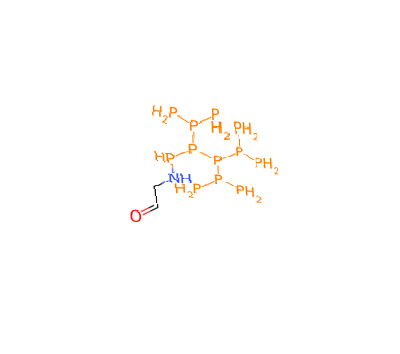 O=CCNPP(P(P)P)P(P(P)P)P(P)P